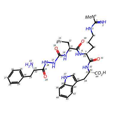 CNC(=N)NCCC[C@H](NC(=O)[C@H](CC(C)C)NC(=O)NNC(=O)[C@@H](N)Cc1ccccc1)C(=O)N[C@@H](Cc1c[nH]c2ccccc12)C(=O)O